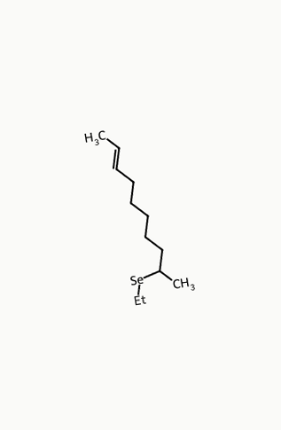 C/C=C/CCCCCC(C)[Se]CC